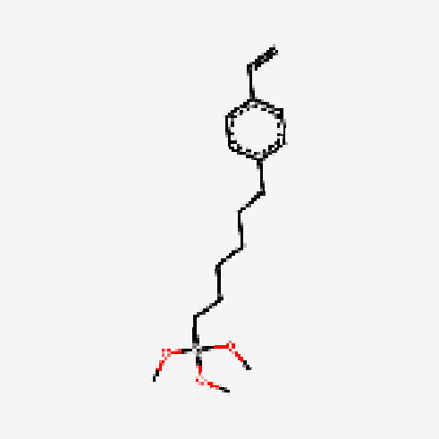 C=Cc1ccc(CCCCCC[Si](OC)(OC)OC)cc1